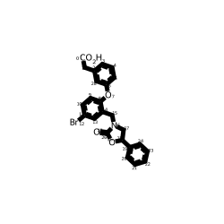 O=C(O)Cc1cccc(Oc2ccc(Br)cc2CN2CC(c3ccccc3)OC2=O)c1